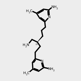 Cc1cc(N)nc(CCC[C@H](CN)CCc2cc(C)cc(N)n2)c1